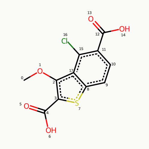 COc1c(C(=O)O)sc2ccc(C(=O)O)c(Cl)c12